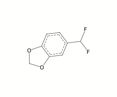 FC(F)c1ccc2c(c1)OCO2